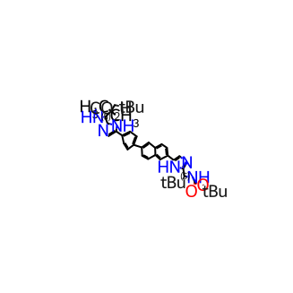 CC(C)(C)CC(C)(C)[C@H](NC(=O)O)c1ncc(-c2ccc(-c3ccc4cc(-c5cnc([C@@H](NC(=O)OC(C)(C)C)C(C)(C)C)[nH]5)ccc4c3)cc2)[nH]1